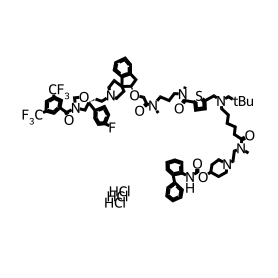 CN(CCN1CCC(OC(=O)Nc2ccccc2-c2ccccc2)CC1)C(=O)CCCCCN(Cc1ccc(C(=O)N(C)CCCN(C)C(=O)CO[C@H]2Cc3ccccc3C23CCN(CC[C@]2(c4ccc(F)cc4)CN(C(=O)c4cc(C(F)(F)F)cc(C(F)(F)F)c4)CO2)CC3)s1)CC(C)(C)C.Cl.Cl.Cl